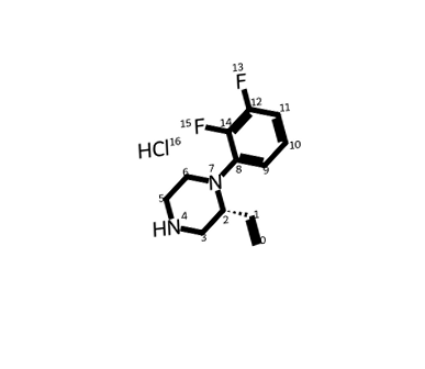 C=C[C@@H]1CNCCN1c1cccc(F)c1F.Cl